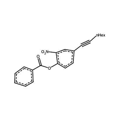 CCCCCCC#Cc1ccc(OC(=O)c2ccccc2)c([N+](=O)[O-])c1